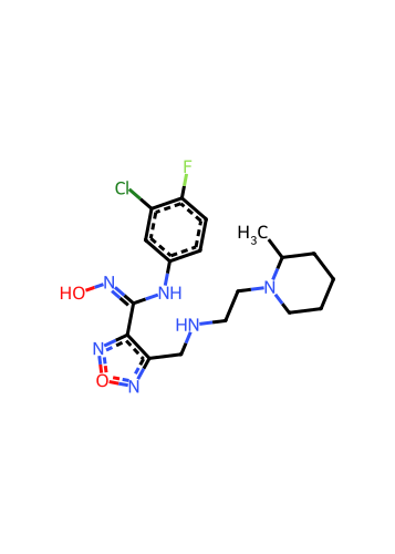 CC1CCCCN1CCNCc1nonc1/C(=N\O)Nc1ccc(F)c(Cl)c1